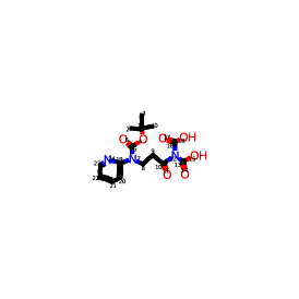 CC(C)(C)OC(=O)N(CCC(=O)N(C(=O)O)C(=O)O)c1ccccn1